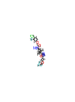 O=C(COc1ccc(Cl)c(F)c1)N[C@@H]1C[C@@H]2[C@H](C1)[C@H]2c1nnc([C@H]2C[C@@H](OC(F)(F)F)C2)o1